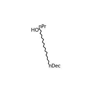 CCCCCCCCCCCCCCCCCCCCCCCCCCC(O)CCC